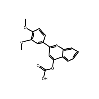 COc1ccc(-c2cc(OC(=O)O)c3ccccc3n2)cc1OC